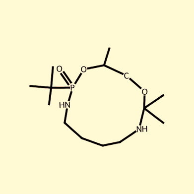 CC1COC(C)(C)NCCCCNP(=O)(C(C)(C)C)O1